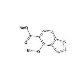 CCOc1c(C(=O)OC)ccc2sccc12